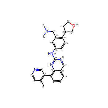 Cc1ccncc1-c1cccc2cnc(Nc3ccc(C4CCOC4)c(CN(C)C)c3)nc12